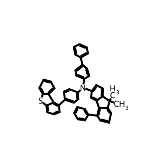 CC1(C)c2ccc(N(c3ccc(-c4ccccc4)cc3)c3ccc(-c4cccc5sc6ccccc6c45)cc3)cc2-c2c(-c3ccccc3)cccc21